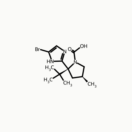 C[C@@H]1CN(C(=O)O)[C@](c2ncc(Br)[nH]2)(C(C)(C)C)C1